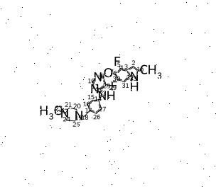 Cc1cc2c(F)c(Oc3ncnc(Nc4ccc(CN5CCN(C)CC5)cc4)c3F)ccc2[nH]1